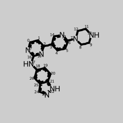 c1cc(-c2ccc(N3CCNCC3)nc2)nc(Nc2ccc3[nH]ncc3c2)n1